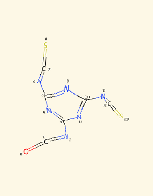 O=C=Nc1nc(N=C=S)nc(N=C=S)n1